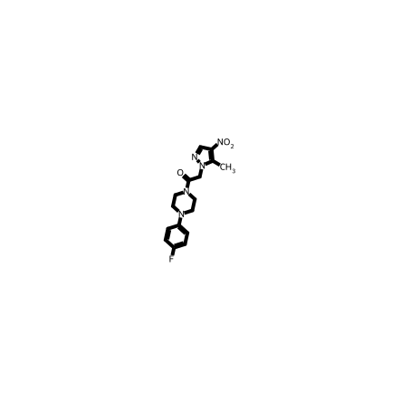 Cc1c([N+](=O)[O-])cnn1CC(=O)N1CCN(c2ccc(F)cc2)CC1